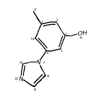 Cc1cc(O)cc(-n2ccnc2)c1